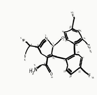 Cn1nc(C(F)F)c(C(N)=O)c1-c1ccc(F)cc1-c1ccc(F)cc1Cl